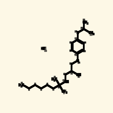 CCCCCCC(C)(C)NCC(O)COc1ccc(SC(C)C)cc1.Cl